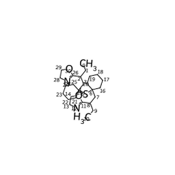 CCC(CC1(SC2(CC(CC)C3=NCCO3)CCCCC2)CCCCC1)C1=NCCO1